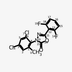 Cc1cc(Cl)cc(Cl)c1-n1nc(-c2c(F)cccc2F)oc1=O